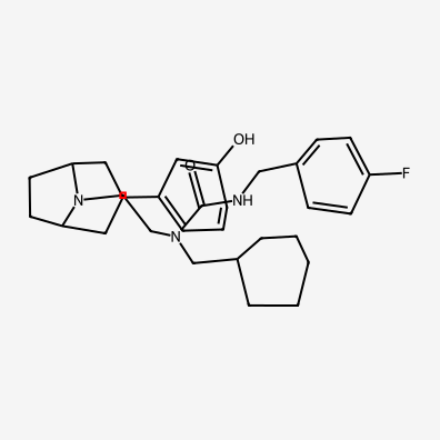 O=C(NCc1ccc(F)cc1)N(CCN1C2CCC1CC(c1cccc(O)c1)C2)CC1CCCCC1